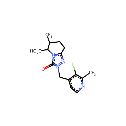 O=C(O)C1C(C(F)(F)F)CCc2nn(Cc3ccnc(C(F)(F)F)c3F)c(=O)n21